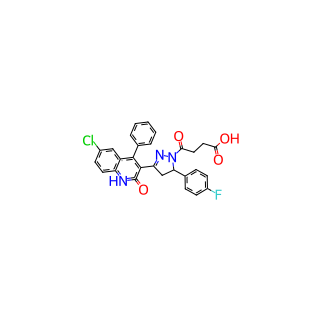 O=C(O)CCC(=O)N1N=C(c2c(-c3ccccc3)c3cc(Cl)ccc3[nH]c2=O)CC1c1ccc(F)cc1